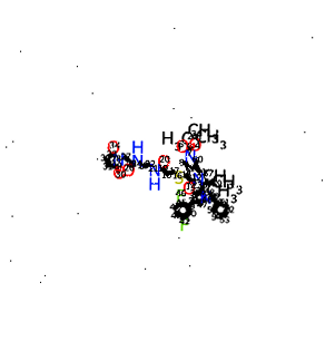 CC(C)(C)OC(=O)N1CCC(CN(C(=O)CSCCC(=O)NCCNC(=O)CN2C(=O)C=CC2=O)[C@@H](c2cc(-c3cc(F)ccc3F)cn2Cc2ccccc2)C(C)(C)C)C1